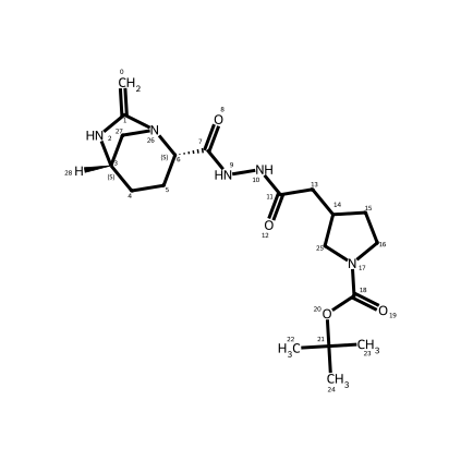 C=C1N[C@H]2CC[C@@H](C(=O)NNC(=O)CC3CCN(C(=O)OC(C)(C)C)C3)N1C2